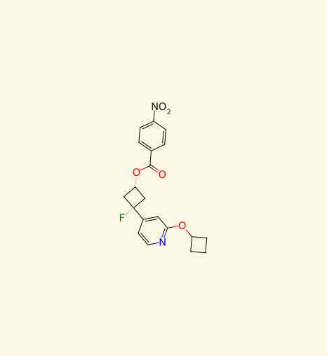 O=C(O[C@H]1C[C@](F)(c2ccnc(OC3CCC3)c2)C1)c1ccc([N+](=O)[O-])cc1